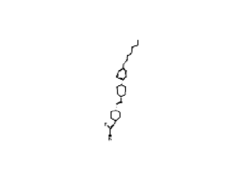 CCCCCCCc1ccc([C@H]2CC[C@H](/C=C/[C@H]3CC[C@H](C=C(F)C#N)CC3)CC2)cc1